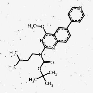 COc1nc(N(CCC(C)C)C(=O)OC(C)(C)C)nc2ccc(-c3ccncc3)cc12